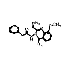 C=C1c2cccc(OC)c2N=C(CN)N1NC(=O)Cc1ccccc1